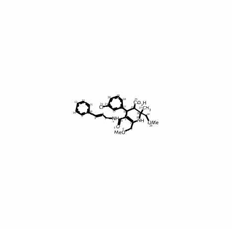 COCC1=C(C(=O)NCC=Cc2ccccc2)C(c2cccc(Cl)c2)C(C(=O)O)C(C)(COC)N1